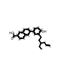 C=CCC(CC)CCc1cc(-c2ccc3cc(C(=O)O)ccc3c2)ccc1O